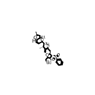 [3H]C(C[C@@H]1OC(CC(C)CC)[C@H](C)[C@H]1CS(=O)(=O)c1ccccc1)C(=C)[C@H](C)CC1CC[C@@H]2O[C@@H](C)C[C@]2(CC)O1